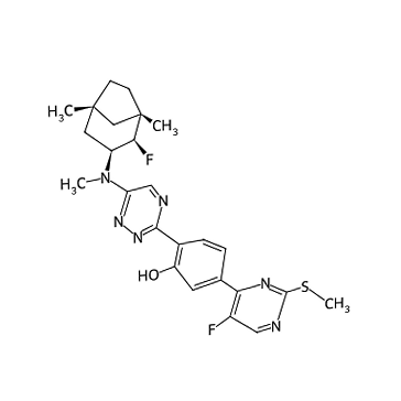 CSc1ncc(F)c(-c2ccc(-c3ncc(N(C)[C@H]4C[C@]5(C)CC[C@@](C)(C5)[C@H]4F)nn3)c(O)c2)n1